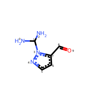 NC(N)n1nccc1C=O